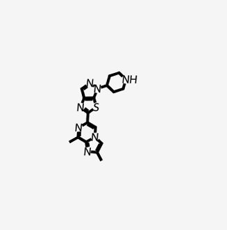 Cc1cn2cc(-c3nc4cnn(C5CCNCC5)c4s3)nc(C)c2n1